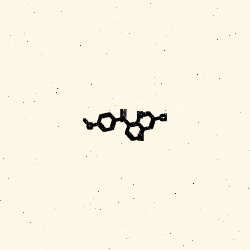 COc1ccc(Nc2ccnc3cc(Cl)cnc23)cc1